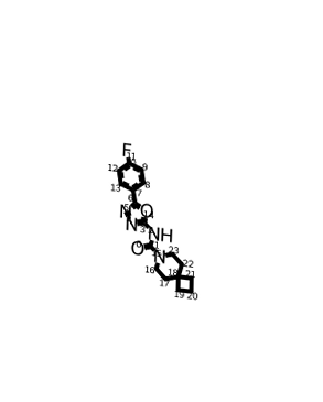 O=C(Nc1nnc(-c2ccc(F)cc2)o1)N1CCC2(CCC2)CC1